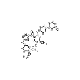 CCOC(=O)C(C)C[C@@H](Cc1ccc(-c2cccc(Cl)c2)cc1)NC(=O)c1nnn(Cc2ccc(OC)cc2)n1